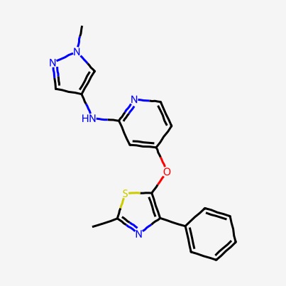 Cc1nc(-c2ccccc2)c(Oc2ccnc(Nc3cnn(C)c3)c2)s1